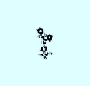 Cc1nnc(C(C)C)n1N1CCN(CC[C@H](NC(=O)NC2CCCCC2)c2ccccc2)CC1